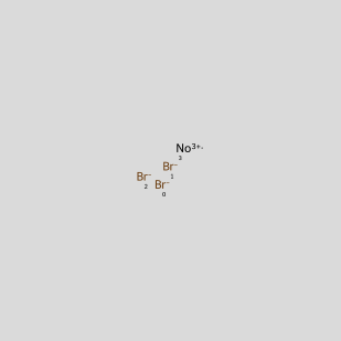 [Br-].[Br-].[Br-].[No+3]